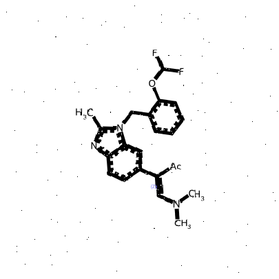 CC(=O)/C(=C\N(C)C)c1ccc2nc(C)n(Cc3ccccc3OC(F)F)c2c1